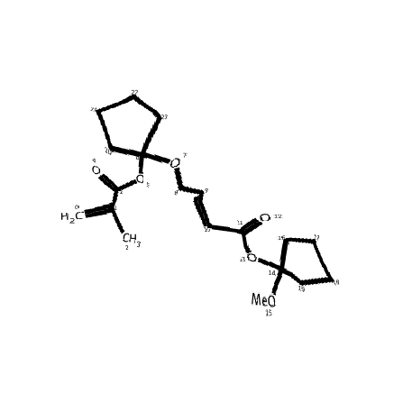 C=C(C)C(=O)OC1(OCC=CC(=O)OC2(OC)CCCC2)CCCC1